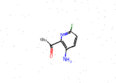 CC(C)(C)C(=O)c1nc(F)ccc1N